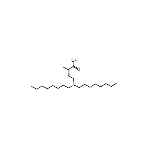 CCCCCCCCN(CC=C(C)C(=O)O)CCCCCCCC